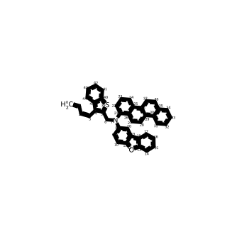 C=C/C=C\c1c(CN(c2ccc3oc4ccccc4c3c2)c2cccc3c2ccc2c4ccccc4ccc32)sc2ccccc12